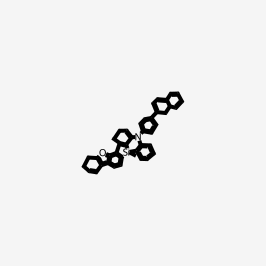 C[Si]12C3=C(CCC=C3N(c3ccc(C4=CC=C5C=CC=CC5C4)cc3)c3ccccc31)c1c2ccc2c3c(oc12)CCC=C3